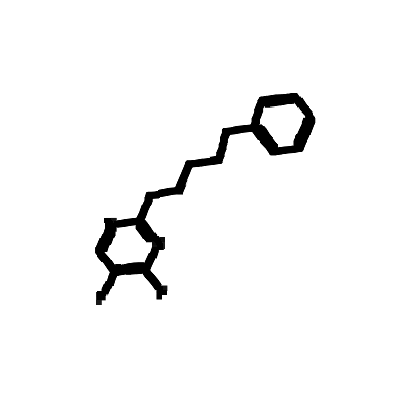 Fc1cnc(CCCCCc2ccccc2)nc1F